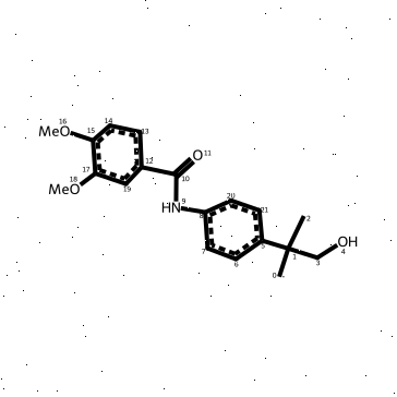 [CH2]C(C)(CO)c1ccc(NC(=O)c2ccc(OC)c(OC)c2)cc1